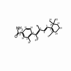 CC1=C(/C=C/C(C)=C(\F)c2ccc(C(N)=O)cc2C)C(C)(C)CCC1